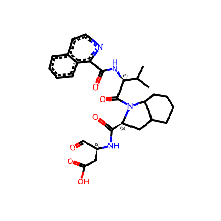 CC(C)[C@H](NC(=O)c1nccc2ccccc12)C(=O)N1C2CCCCC2C[C@H]1C(=O)N[C@H](C=O)CC(=O)O